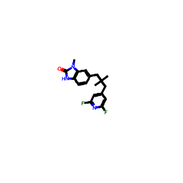 Cn1c(=O)[nH]c2ccc(CC(C)(C)Cc3cc(F)nc(F)c3)cc21